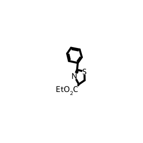 CCOC(=O)C1CSC(c2ccccc2)=N1